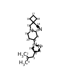 CC(C)Cc1cnn(C2CCN(CC3(C#N)CCC3)CC2)c1